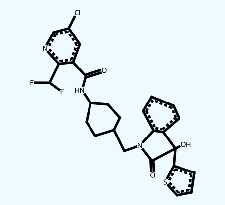 O=C(NC1CCC(CN2C(=O)C(O)(c3cccs3)c3ccccc32)CC1)c1cc(Cl)cnc1C(F)F